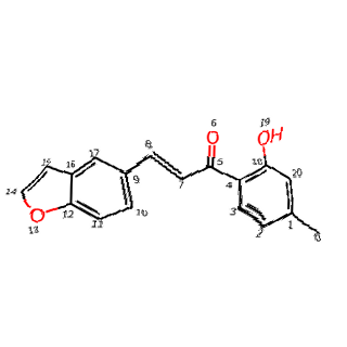 Cc1ccc(C(=O)C=Cc2ccc3occc3c2)c(O)c1